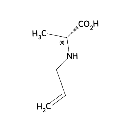 C=CCN[C@H](C)C(=O)O